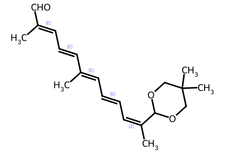 C/C(=C/C=C/C=C(C)/C=C/C=C(\C)C=O)C1OCC(C)(C)CO1